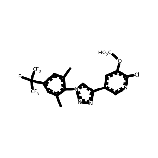 Cc1cc(C(F)(C(F)(F)F)C(F)(F)F)cc(C)c1-n1cc(-c2cnc(Cl)c(OC(=O)O)c2)nn1